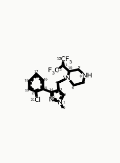 Cn1cc(CN2CCNCC2C(C(F)(F)F)C(F)(F)F)c(-c2ccccc2Cl)n1